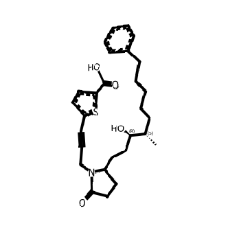 C[C@@H](CCCCCc1ccccc1)[C@H](O)CCC1CCC(=O)N1CC#Cc1ccc(C(=O)O)s1